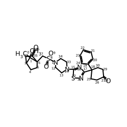 CC1(C)C2CCC1(CS(=O)(=O)N1CCN(c3nc(C4(c5ccccc5)CCC(=O)CC4)ns3)CC1)C(=O)C2